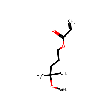 C=CC(=O)OCCCC(C)(C)O[SiH3]